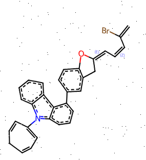 C=C(Br)/C=C\C=C1/Cc2cc(-c3cccc4c3c3ccccc3n4C3=CC=CCC=C3)ccc2O1